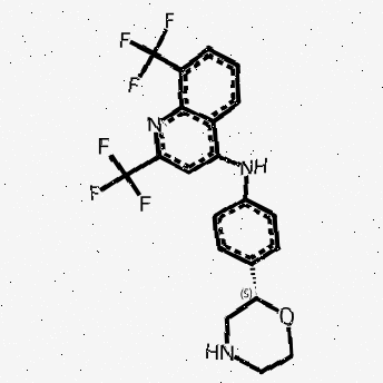 FC(F)(F)c1cc(Nc2ccc([C@H]3CNCCO3)cc2)c2cccc(C(F)(F)F)c2n1